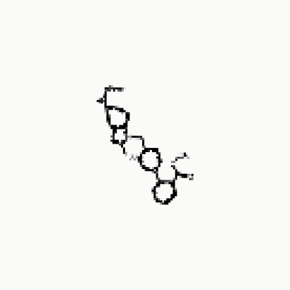 CCCCCNc1ccc2c(c1)nc(CCCC)n2Cc1ccc(-c2ccccc2C(=O)OC(C)(C)C)cc1